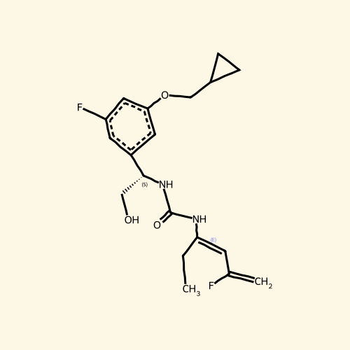 C=C(F)/C=C(\CC)NC(=O)N[C@H](CO)c1cc(F)cc(OCC2CC2)c1